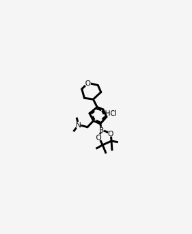 CN(C)Cc1cc(C2CCOCC2)ccc1B1OC(C)(C)C(C)(C)O1.Cl